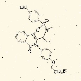 CCOC(=O)COc1ccc(-n2c(C(C)N(C)S(=O)(=O)c3ccc(C(C)(C)C)cc3)nc3ccccc3c2=O)cc1